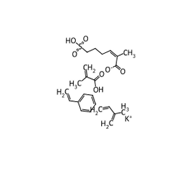 C=C(C)C(=O)O.C=CC(=C)C.C=Cc1ccccc1.CC(=CCCCS(=O)(=O)O)C(=O)[O-].[K+]